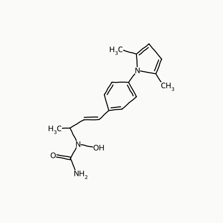 Cc1ccc(C)n1-c1ccc(C=CC(C)N(O)C(N)=O)cc1